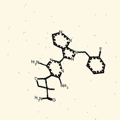 CC1(C(N)=O)COC1c1c(N)nc(-c2nn(Cc3ccccc3F)c3nnccc23)nc1N